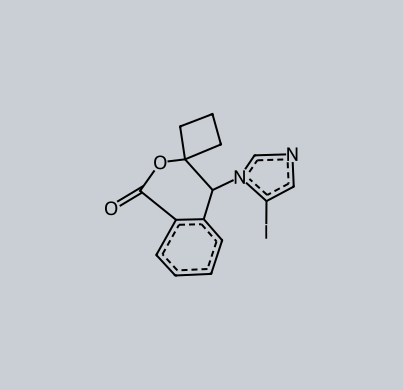 O=C1OC2(CCC2)C(n2cncc2I)c2ccccc21